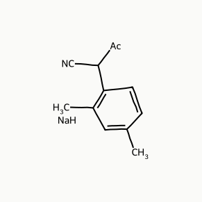 CC(=O)C(C#N)c1ccc(C)cc1C.[NaH]